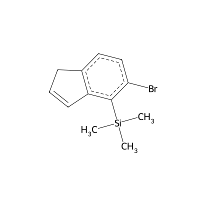 C[Si](C)(C)c1c(Br)ccc2c1C=CC2